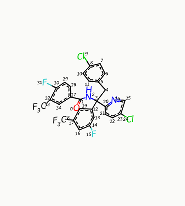 O=C(NC(Cc1ccc(Cl)cc1)(c1cc(F)cc(C(F)(F)F)c1)c1ccc(Cl)cn1)c1ccc(F)c(C(F)(F)F)c1